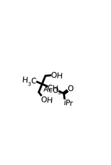 CC(=O)OC(=O)C(C)C.CC(C)(CO)CO